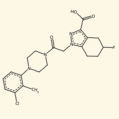 Cc1c(Cl)cccc1N1CCN(C(=O)Cn2nc(C(=O)O)c3c2CCC(F)C3)CC1